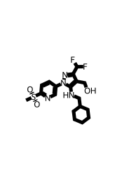 CS(=O)(=O)c1ccc(-n2nc(C(F)F)c(CO)c2NCC2CCCCC2)cn1